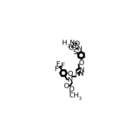 CCOC(=O)CN(Cc1ccc(C(F)(F)F)cc1)C(=O)Cn1cc(COc2ccc3nc(S(N)(=O)=O)sc3c2)nn1